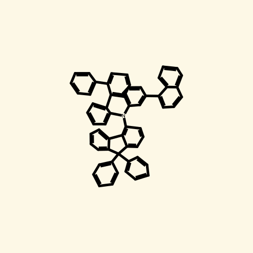 c1ccc(-c2ccccc2-c2ccccc2N(c2cccc(-c3cccc4ccccc34)c2)c2cccc3c2-c2ccccc2C3(c2ccccc2)c2ccccc2)cc1